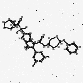 Cc1cc(C)cc(-c2[nH]c3sc(C(C)(C)C(=O)N4C5CCC4CC5)cc3c2C(=O)CN2CCN(Cc3ccncc3)CC2)c1